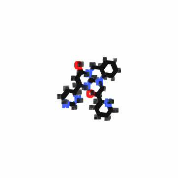 O=C(CN1c2ccccc2Cn2c1nc(-c1ccncn1)cc2=O)c1ccccn1